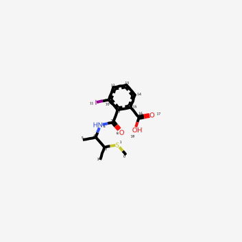 CSC(C)C(C)NC(=O)c1c(I)cccc1C(=O)O